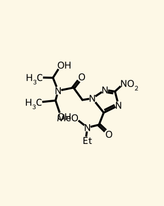 CCN(OC)C(=O)c1nc([N+](=O)[O-])nn1CC(=O)N(C(C)O)C(C)O